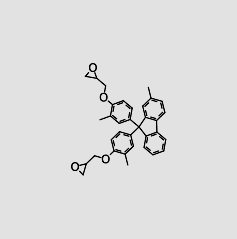 Cc1ccc2c(c1)C(c1ccc(OCC3CO3)c(C)c1)(c1ccc(OCC3CO3)c(C)c1)c1ccccc1-2